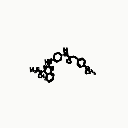 COc1ccc(CC(=O)N[C@H]2CC[C@@H](Nc3nc(N(C)C)c4ccccc4n3)CC2)cc1